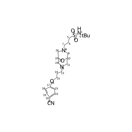 CC(C)(C)NS(=O)(=O)CCCN1CC2CN(CCCOc3ccc(C#N)cc3)CC(C1)O2